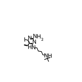 C=Cc1c(I)nc(N)nc1NCCCCNC(C)(C)C